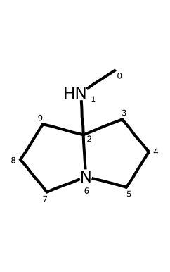 CNC12CCCN1CCC2